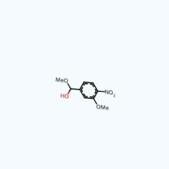 COc1cc(C(O)OC)ccc1[N+](=O)[O-]